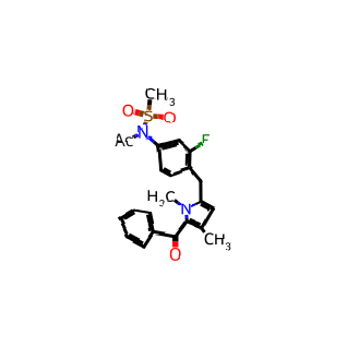 CC(=O)N(c1ccc(Cc2cc(C)c(C(=O)c3ccccc3)n2C)c(F)c1)S(C)(=O)=O